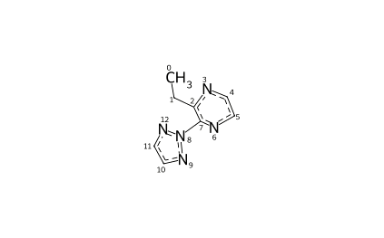 CCc1nccnc1-n1nccn1